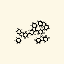 N#Cc1c(-c2cccc3sc4ccccc4c23)cc(-n2c3ccccc3c3ccccc32)cc1-n1c2ccccc2c2cc(-c3ccc4c(c3)c3ccccc3n4-c3ccccc3)ccc21